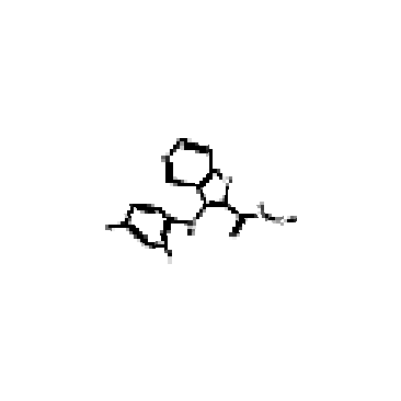 CONC(=O)c1oc2ccncc2c1Nc1ccc(I)cc1F